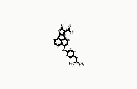 CC(C)Cc1ccc(Oc2ccc3c4c(cccc24)C2=NC(=O)C(C(=O)O)=C23)cc1